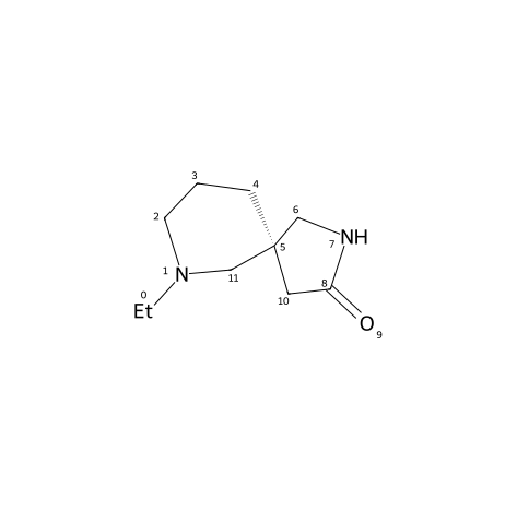 CCN1CCC[C@@]2(CNC(=O)C2)C1